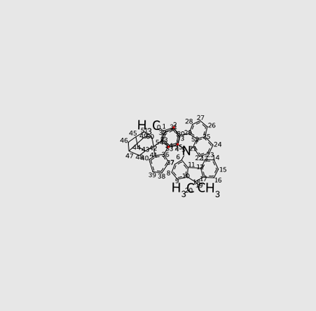 Cc1ccc(N(c2cccc3c2-c2ccccc2C3(C)C)c2cccc3cccc(-c4ccc5c(c4)-c4ccccc4C54C5CC6CC(C5)CC4C6)c23)cc1